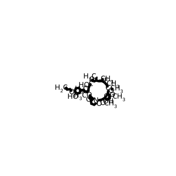 C=CCOC1CCC(C=C(C)C2OC(=O)C3CCCCN3C(=O)C(=O)C3(O)OC(C(OC)CC(C)C(F)/C(C)=C/C(CC)C(=O)CC(O)C2C)C(OC)CC3C)CC1O